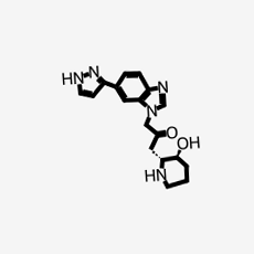 O=C(C[C@H]1NCCC[C@@H]1O)Cn1cnc2ccc(-c3cc[nH]n3)cc21